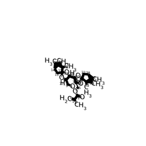 C=C(C)C(=O)OC[C@@]12OC[C@H]3OC4(CC5CCC4(C)C5(C)C)O[C@H]3[C@@H]1OC1(CC3CCC1(C)C3(C)C)O2